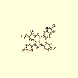 C[C@@H]1O[C@H](C2CN(c3ccc(Br)cc3)N=C2c2ccc(F)cn2)N(CCc2ccc3[nH]c(=O)[nH]c3c2)C1=O